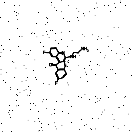 NCCNc1nc2ccc(F)cc2c2c(=O)c3cc(F)ccc3sc12